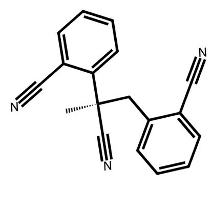 C[C@@](C#N)(Cc1ccccc1C#N)c1ccccc1C#N